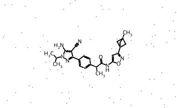 CC(C(=O)Nc1cc(C23CC(C)(C2)C3)no1)c1ccc(-c2nn(C(C)C)c(N)c2C#N)cc1